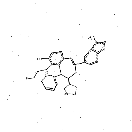 Cn1nnc2ccc(C3=Cc4ccc(O)c(CCCF)c4C(C4=CC=CCC4=O)C(C4CCNC4)C3)cc21